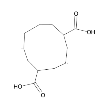 O=C(O)C1C[CH]CCCC(C(=O)O)C[CH]C1